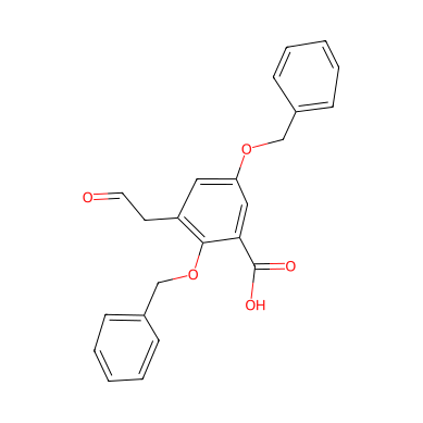 O=CCc1cc(OCc2ccccc2)cc(C(=O)O)c1OCc1ccccc1